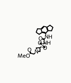 COC(=O)CN1CC(S(=O)(=O)NC(=O)Nc2c3c(cc4c2CCC4)CCC3)C1